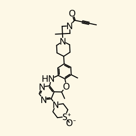 CC#CC(=O)N1CC(C)(N2CCC(c3cc(C)c4c(c3)Nc3ncnc(N5CC[S+]([O-])CC5)c3C(C)O4)CC2)C1